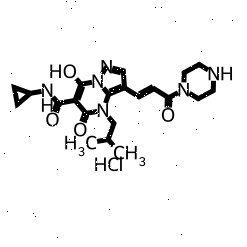 CC(C)Cn1c(=O)c(C(=O)NC2CC2)c(O)n2ncc(C=CC(=O)N3CCNCC3)c12.Cl